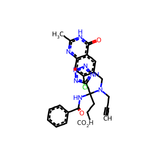 C#CCN(Cc1cc2c(=O)[nH]c(C)nc2cc1Cl)C(CCC(=O)O)(NC(=O)c1ccccc1)c1nnn[nH]1